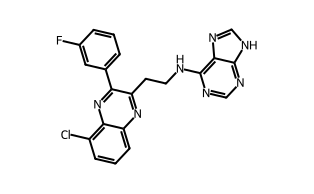 Fc1cccc(-c2nc3c(Cl)cccc3nc2CCNc2ncnc3[nH]cnc23)c1